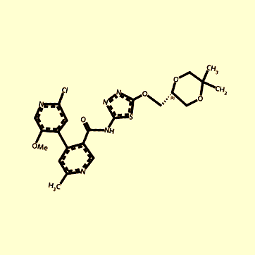 COc1cnc(Cl)cc1-c1cc(C)ncc1C(=O)Nc1nnc(OC[C@H]2COC(C)(C)CO2)s1